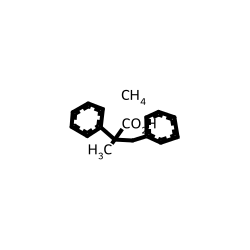 C.CC(Cc1ccccc1)(C(=O)O)c1ccccc1